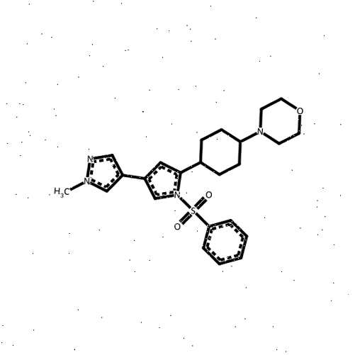 Cn1cc(-c2cc(C3CCC(N4CCOCC4)CC3)n(S(=O)(=O)c3ccccc3)c2)cn1